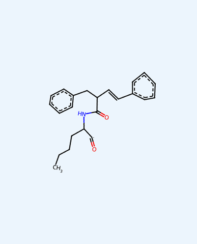 CCCCC([C]=O)NC(=O)C(/C=C/c1ccccc1)Cc1ccccc1